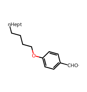 CCCCCCCCCCCOc1ccc([C]=O)cc1